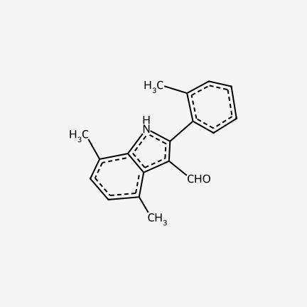 Cc1ccccc1-c1[nH]c2c(C)ccc(C)c2c1C=O